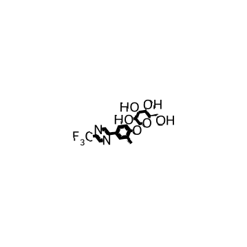 Cc1cc(-c2cnc(C(F)(F)F)cn2)ccc1O[C@H]1O[C@H](CO)[C@@H](O)C(O)C1O